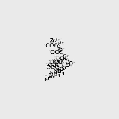 O=C([O-])[O-].O=C([O-])[O-].O=C([O-])[O-].O=C([O-])[O-].O=C([O-])[O-].O=C([O-])[O-].O=C([O-])[O-].[Cu+2].[Cu+2].[NH4+].[NH4+].[Zr+4].[Zr+4]